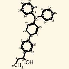 CCC(O)c1ccc(C2C=CC(N(c3ccccc3)c3ccccc3)=CC2)cc1